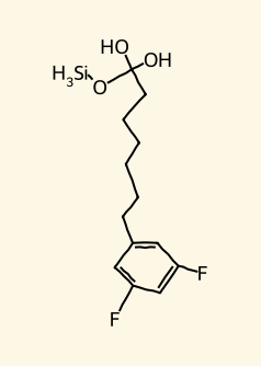 OC(O)(CCCCCCc1cc(F)cc(F)c1)O[SiH3]